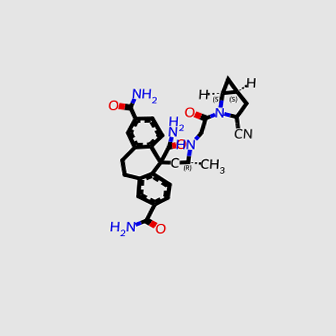 C[C@H](CC1(C(N)=O)c2ccc(C(N)=O)cc2CCc2cc(C(N)=O)ccc21)NCC(=O)N1C(C#N)C[C@@H]2C[C@@H]21